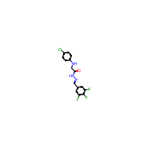 O=C(CNc1ccc(Cl)cc1)N/N=C/c1cc(F)c(F)c(F)c1